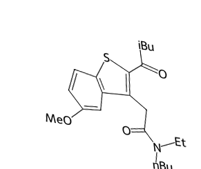 CCCCN(CC)C(=O)Cc1c(C(=O)C(C)CC)sc2ccc(OC)cc12